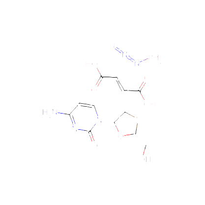 Nc1ccn([C@@H]2CS[C@H](CO)O2)c(=O)n1.O=C(O)/C=C/C(=O)O.[N-]=[N+]=NP